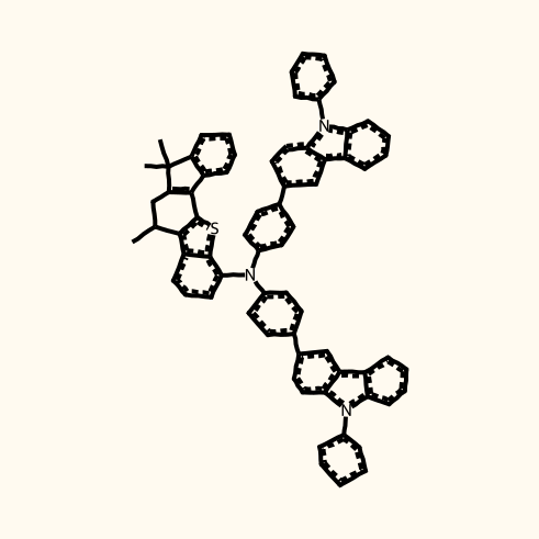 CC1CC2=C(c3ccccc3C2(C)C)c2sc3c(N(c4ccc(-c5ccc6c(c5)c5ccccc5n6-c5ccccc5)cc4)c4ccc(-c5ccc6c(c5)c5ccccc5n6-c5ccccc5)cc4)cccc3c21